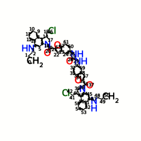 C=CCNc1cc2c(c3ccccc13)C(CCl)CN2C(=O)c1cc2cc(NC(=O)Nc3ccc4oc(C(=O)N5CC(CCl)c6c5cc(NCC=C)c5ccccc65)cc4c3)ccc2o1